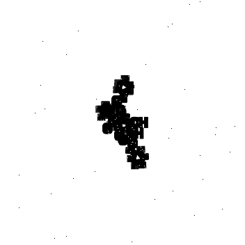 CC(O)C(NC(=O)OCc1ccccc1)C(=O)N1CC(C2CCCN2C(=O)OCc2ccccc2)C1=O